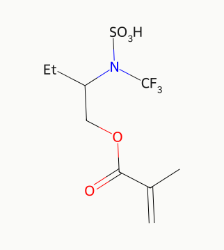 C=C(C)C(=O)OCC(CC)N(C(F)(F)F)S(=O)(=O)O